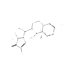 C[C@]12CC[C@@H](O)C[C@@H]1CCC1C3CC[C@@H]4C(=O)C(Br)=C[C@]34CCC12